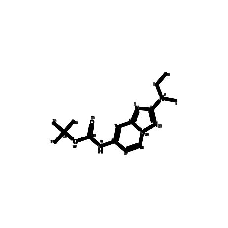 CCN(C)c1nc2cc(NC(=O)OC(C)(C)C)ccn2n1